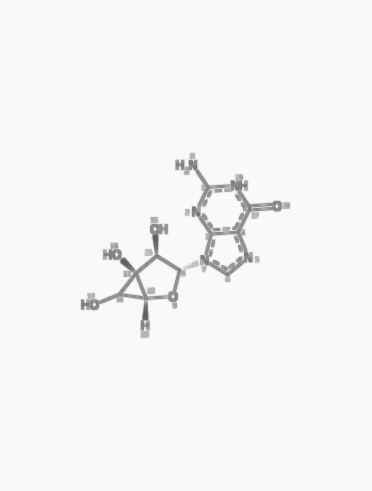 Nc1nc2c(ncn2[C@@H]2O[C@@H]3C(O)[C@]3(O)[C@H]2O)c(=O)[nH]1